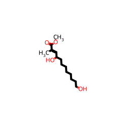 COC(=O)C(C)=CC(O)CCCCCCCCO